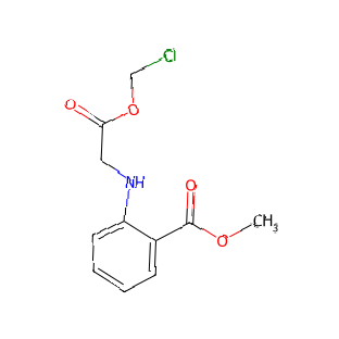 COC(=O)c1ccccc1NCC(=O)OCCl